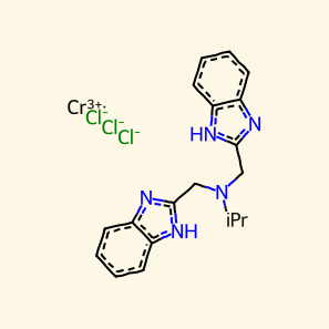 CC(C)N(Cc1nc2ccccc2[nH]1)Cc1nc2ccccc2[nH]1.[Cl-].[Cl-].[Cl-].[Cr+3]